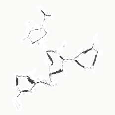 CC(=O)N1C[C@H](c2nc(Nc3cccc(F)c3)cc(-c3cncc(O)c3)n2)CC[C@@H]1C